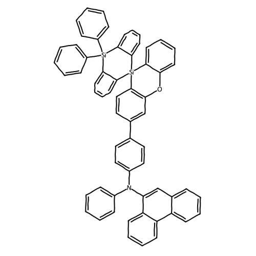 c1ccc(N(c2ccc(-c3ccc4c(c3)Oc3ccccc3[Si]43c4ccccc4[Si](c4ccccc4)(c4ccccc4)c4ccccc43)cc2)c2cc3ccccc3c3ccccc23)cc1